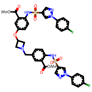 COC(=O)c1cc(CN2CC(Oc3ccc(NS(=O)(=O)c4cnn(-c5ccc(F)cc5)c4)c(C(=O)OC)c3)C2)ccc1NS(=O)(=O)c1cnn(-c2ccc(F)cc2)c1